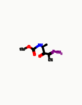 C[C@H](NC(=O)OC(C)(C)C)C(=O)C(C#N)=PP